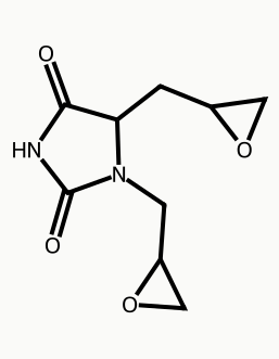 O=C1NC(=O)N(CC2CO2)C1CC1CO1